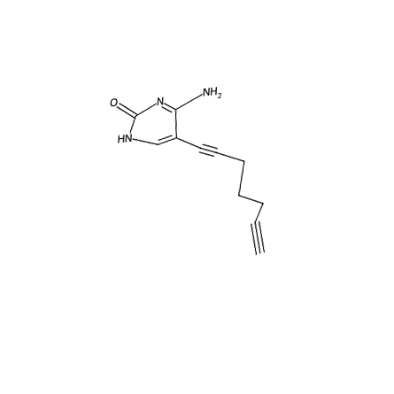 C#CCCCC#Cc1c[nH]c(=O)nc1N